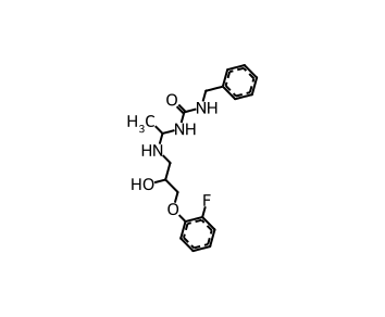 CC(NCC(O)COc1ccccc1F)NC(=O)NCc1ccccc1